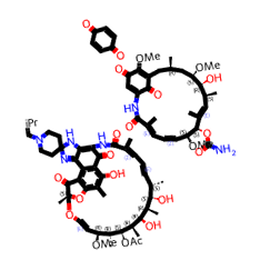 COC1=C2C[C@@H](C)C[C@H](OC)[C@H](O)[C@@H](C)/C=C(\C)[C@H](OC(N)=O)[C@@H](OC)/C=C\C=C(/C)C(=O)NC(=CC1=O)C2=O.CO[C@H]1/C=C/O[C@@]2(C)Oc3c(C)c(O)c4c(c3C2=O)C2=NC3(CCN(CC(C)C)CC3)NC2=C(NC(=O)/C(C)=C\C=C\[C@H](C)[C@H](O)[C@@H](C)[C@@H](O)[C@@H](C)[C@H](OC(C)=O)[C@@H]1C)C4=O.O=C1C=CC(=O)C=C1